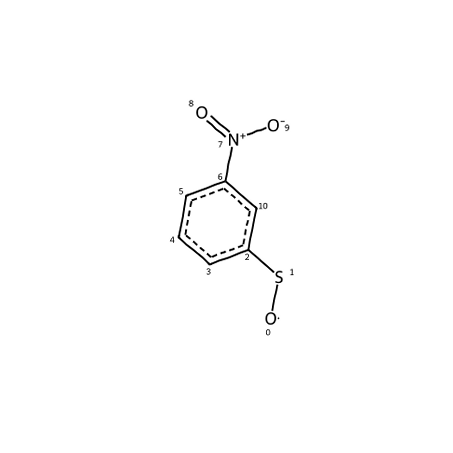 [O]Sc1cccc([N+](=O)[O-])c1